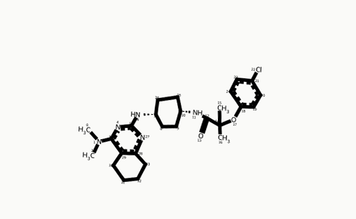 CN(C)c1nc(N[C@H]2CC[C@@H](NC(=O)C(C)(C)Oc3ccc(Cl)cc3)CC2)nc2c1CCCC2